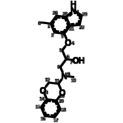 Cc1cc(OCC(O)CN(C)C2COc3ccccc3O2)c2cc[nH]c2c1